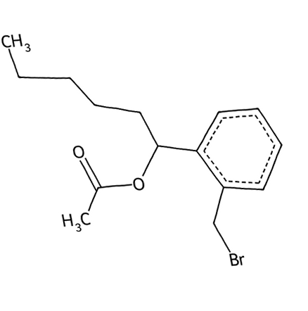 CCCCCC(OC(C)=O)c1ccccc1CBr